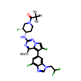 [2H]C([2H])([2H])C(=O)N1CC[C@H](Nc2nc(OC)c3c(-c4cc(F)c5ncn(CC(F)F)c5c4)c(F)cn3n2)[C@H](F)C1